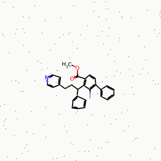 COC(=O)c1ccc(-c2ccccc2)c(I)c1C(CCc1ccncc1)c1ccccc1